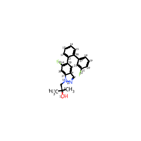 CC(C)(O)Cn1ncc2cc(-c3ccccc3-c3cccc(F)c3)c(F)cc21